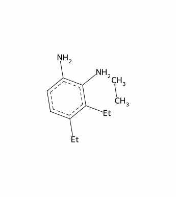 CC.CCc1ccc(N)c(N)c1CC